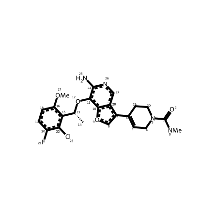 CNC(=O)N1CC=C(c2coc3c(O[C@H](C)c4c(OC)ccc(F)c4Cl)c(N)ncc23)CC1